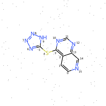 c1cc2c(Sc3nnn[nH]3)ncnc2cn1